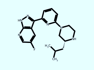 CC(C)C[C@@H]1CN(c2cccc(-c3n[nH]c4ncc(F)cc34)n2)CCN1